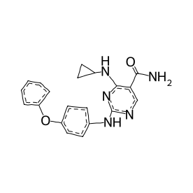 NC(=O)c1cnc(Nc2ccc(Oc3ccccc3)cc2)nc1NC1CC1